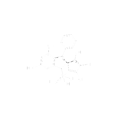 CC1=C(C)C(C)[C]([Zr]([CH3])([CH3])(=[SiH2])[CH]2C(C)=C(c3ccccc3)c3c(C)cc(C)cc32)=C1C